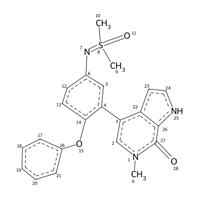 Cn1cc(-c2cc(N=S(C)(C)=O)ccc2Oc2ccccc2)c2cc[nH]c2c1=O